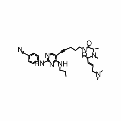 CCCNc1nc(Nc2ccc(C#N)cc2)ncc1C#CCCCNC(=O)[C@@H](C)N(C)C(=O)/C=C/CN(C)C